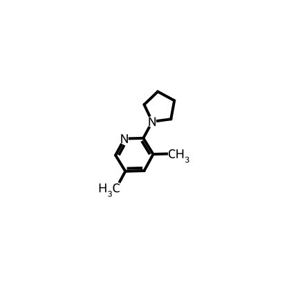 Cc1cnc(N2CCCC2)c(C)c1